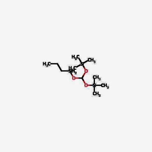 CCC[SiH2]OC(O[Si](C)(C)C)O[Si](C)(C)C